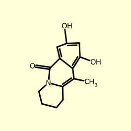 Cc1c2n(c(=O)c3cc(O)cc(O)c13)CCCC2